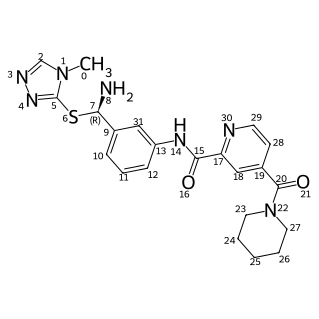 Cn1cnnc1S[C@@H](N)c1cccc(NC(=O)c2cc(C(=O)N3CCCCC3)ccn2)c1